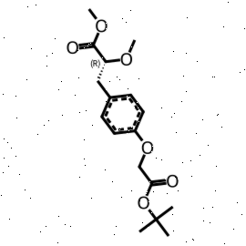 COC(=O)[C@@H](Cc1ccc(OCC(=O)OC(C)(C)C)cc1)OC